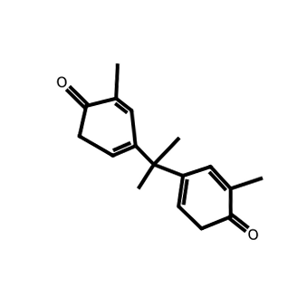 CC1=CC(C(C)(C)C2=CCC(=O)C(C)=C2)=CCC1=O